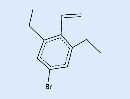 C=Cc1c(CC)cc(Br)cc1CC